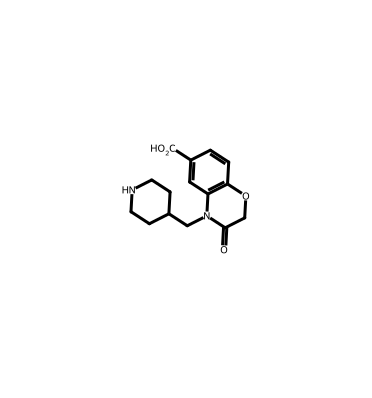 O=C(O)c1ccc2c(c1)N(CC1CCNCC1)C(=O)CO2